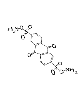 NOS(=O)(=O)c1ccc2c(c1)C(=O)c1ccc(S(=O)(=O)ON)cc1C2=O